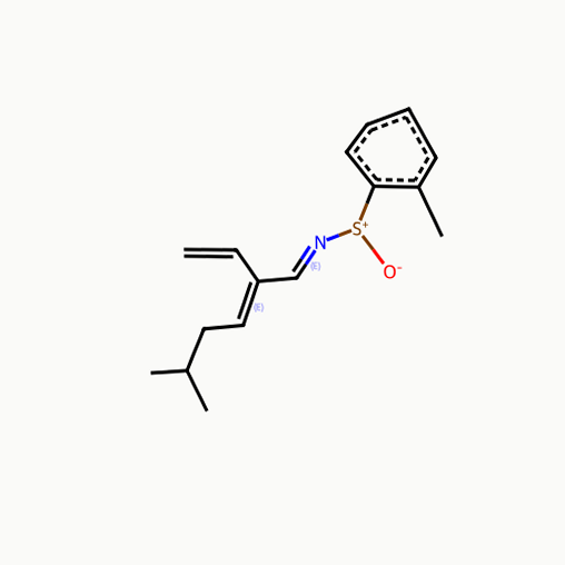 C=CC(/C=N/[S+]([O-])c1ccccc1C)=C\CC(C)C